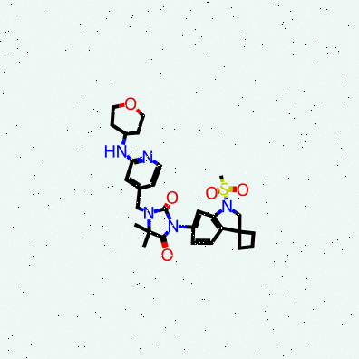 CC1(C)C(=O)N(c2ccc3c(c2)N(S(C)(=O)=O)CC32CCC2)C(=O)N1Cc1ccnc(NC2CCOCC2)c1